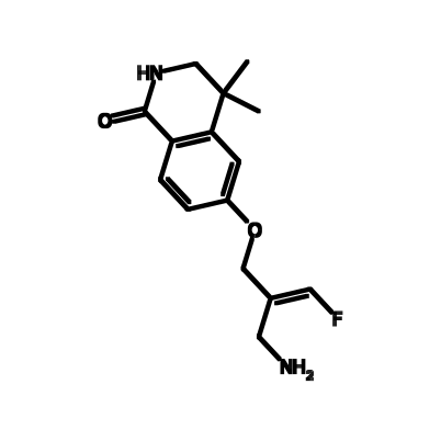 CC1(C)CNC(=O)c2ccc(OCC(=CF)CN)cc21